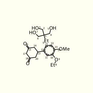 CCC(CO)(CO)CO.CCOc1cc(C2CC(=O)CC(=O)C2)ccc1OC